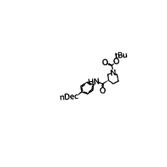 CCCCCCCCCCc1ccc(NC(=O)[C@@H]2CCCN(C(=O)OC(C)(C)C)C2)cc1